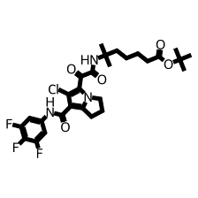 CC(C)(CCCCC(=O)OC(C)(C)C)NC(=O)C(=O)c1c(Cl)c(C(=O)Nc2cc(F)c(F)c(F)c2)c2n1CCC2